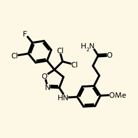 COc1ccc(NC2=NOC(c3ccc(F)c(Cl)c3)(C(Cl)Cl)C2)cc1CCC(N)=O